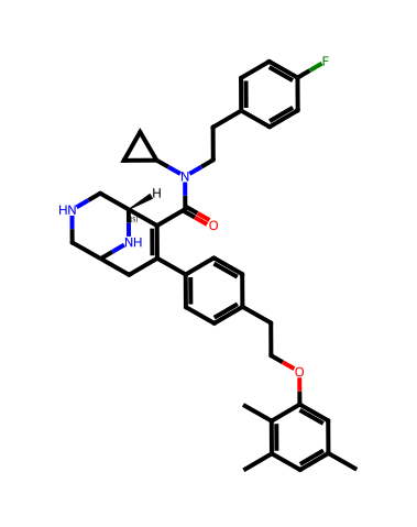 Cc1cc(C)c(C)c(OCCc2ccc(C3=C(C(=O)N(CCc4ccc(F)cc4)C4CC4)[C@H]4CNCC(C3)N4)cc2)c1